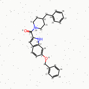 O=C(c1cc2ccc(OCc3ccccc3)cc2[nH]1)N1CCC(Cc2ccccc2)CC1